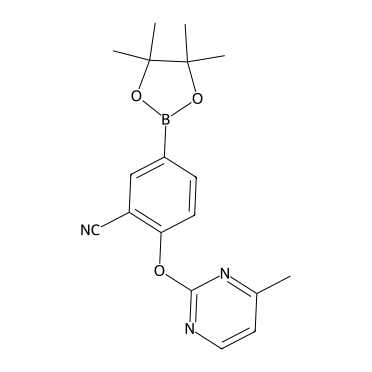 Cc1ccnc(Oc2ccc(B3OC(C)(C)C(C)(C)O3)cc2C#N)n1